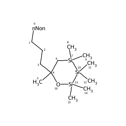 CCCCCCCCCCCCC1(C)C[Si](C)(C)[Si](C)(C)[Si](C)(C)O1